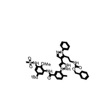 COc1c(NC(=O)c2ccc(C)c(N3C=C(c4cnn(-c5ccccc5)c4CCNC(=O)OCc4ccccc4)NN3)c2)cc(C(C)(C)C)cc1NS(C)(=O)=O